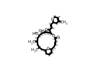 C=C1CC(C)CC2CC=CC(C/C=C\C(=O)OC3CC(OC3/C=C/C3CC(C)=CCO3)[C@@H](O)[C@@H](O)C1)O2